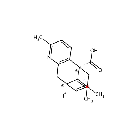 C/C=C1\[C@H]2C=C(C)C[C@]1(C(=O)O)c1ccc(C)nc1C2